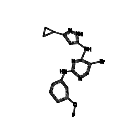 FOc1cccc(Nc2ncc(Br)c(Nc3cc(C4CC4)n[nH]3)n2)c1